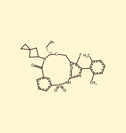 Cc1cccc(C)c1-c1nc2nc(c1F)CC[C@@H](CC(C)C)N(C1CC3(CC3)C1)C(=O)c1cccc(c1)S(=O)(=O)N2